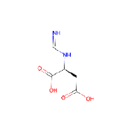 N=CN[C@@H](CC(=O)O)C(=O)O